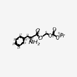 CC(C)OC(=O)OCOC(=O)[C@@H](N)Cc1ccccc1